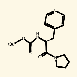 CC(C)(C)OC(=O)N[C@@H](Cc1ccncc1)C(=O)N1CCCC1